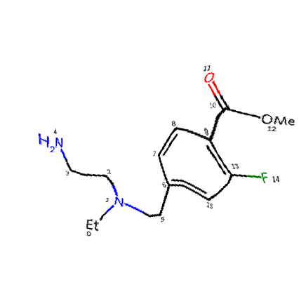 CCN(CCN)Cc1ccc(C(=O)OC)c(F)c1